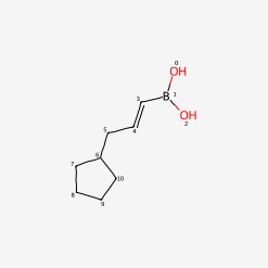 OB(O)C=CCC1CCCC1